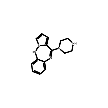 c1ccc2c(c1)N=C(N1CCNCC1)c1cccn1N2